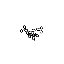 CC1CC(C2=CC(C3C=CC=CC3)=C(C3=CC=CCC3)CC2)=CC(C2=NC(C)(c3ccccc3)NC(C3=CC=CCC3)N2)=C1C1C=C2C(=CC1)OC1CC3C(C=C21)c1ccccc1N3c1ccccc1